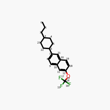 CCCC1CCC(c2ccc3cc(OC(F)(F)F)ccc3c2)CC1